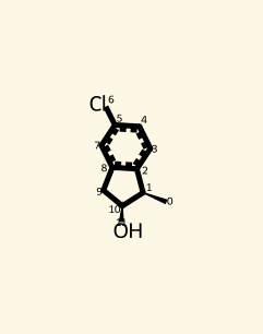 C[C@@H]1c2ccc(Cl)cc2C[C@@H]1O